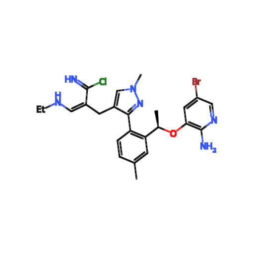 CCN/C=C(/Cc1cn(C)nc1-c1ccc(C)cc1[C@@H](C)Oc1cc(Br)cnc1N)C(=N)Cl